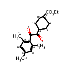 CCOC(=O)C1CCC(C(=O)C(=O)c2c(C)cc(C)cc2C)CC1